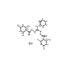 Cc1cc(C)c(NCCN(CCNc2c(C)cc(C)cc2C)Cc2ccccn2)c(C)c1.[Cu]